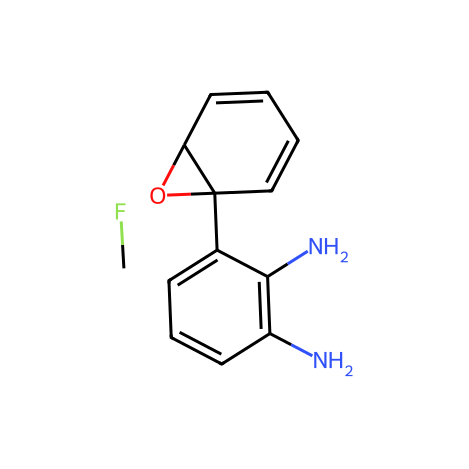 CF.Nc1cccc(C23C=CC=CC2O3)c1N